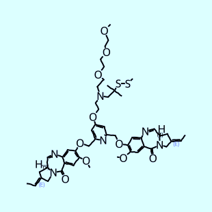 C/C=C1\C[C@H]2C=Nc3cc(OCc4cc(OCCN(CCOCCOCCOC)CC(C)(C)SSC)cc(COc5cc6c(cc5OC)C(=O)N5C/C(=C/C)C[C@H]5C=N6)n4)c(OC)cc3C(=O)N2C1